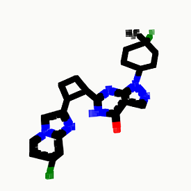 CC1(F)CCC(n2ncc3c(=O)[nH]c(C4CCC4c4cn5ccc(Cl)cc5n4)nc32)CC1